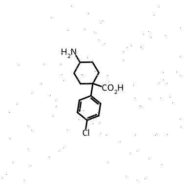 NC1CCC(C(=O)O)(c2ccc(Cl)cc2)CC1